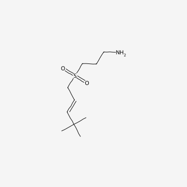 CC(C)(C)C=CCS(=O)(=O)CCCN